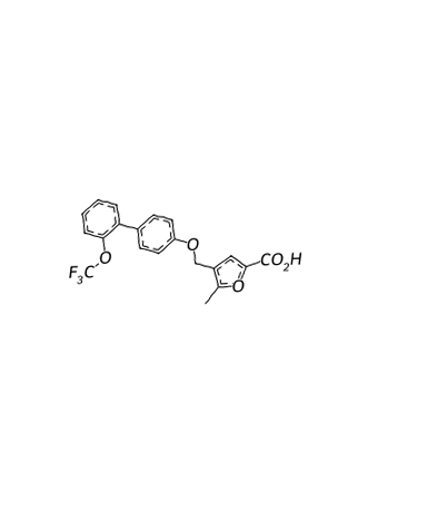 Cc1oc(C(=O)O)cc1COc1ccc(-c2ccccc2OC(F)(F)F)cc1